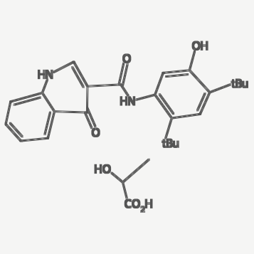 CC(C)(C)c1cc(C(C)(C)C)c(NC(=O)c2c[nH]c3ccccc3c2=O)cc1O.CC(O)C(=O)O